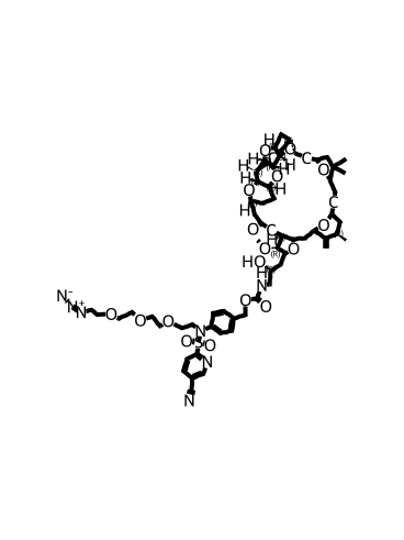 C=C1C2CC3OC(C[C@H](O)CNC(=O)OCc4ccc(N(CCOCCOCCOCCN=[N+]=[N-])S(=O)(=O)c5ccc(C#N)cn5)cc4)[C@H](OC)[C@H]3CC(=O)C[C@H]3CC[C@@H]4O[C@@H]5[C@H]6O[C@@H]7C[C@](CCC8CC(C)(C)C(CCC(C[C@H]1C)O2)O8)(O[C@H]6[C@H]4O3)O[C@H]57